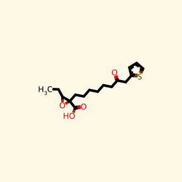 CCC1OC1(CCCCCCC(=O)Cc1cccs1)C(=O)O